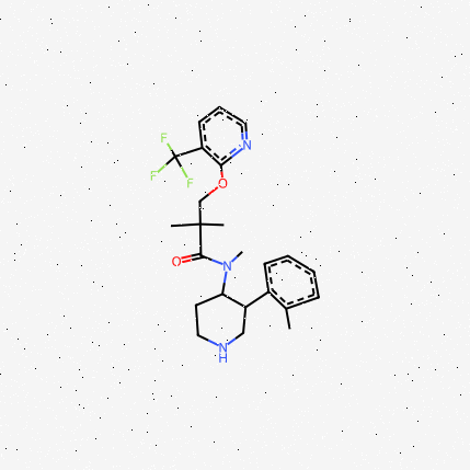 Cc1ccccc1C1CNCCC1N(C)C(=O)C(C)(C)COc1ncccc1C(F)(F)F